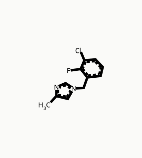 Cc1cn(Cc2cccc(Cl)c2F)cn1